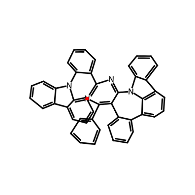 c1ccc(-c2nc(-c3ccccc3-n3c4ccccc4c4ccccc43)nc3c2-c2ccccc2-c2cccc4c5ccccc5n-3c24)cc1